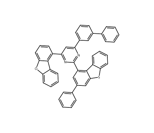 c1ccc(-c2cccc(-c3cc(-c4cccc5oc6ccccc6c45)nc(-c4cc(-c5ccccc5)cc5sc6ccccc6c45)n3)c2)cc1